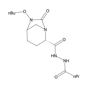 CCCCON1C(=O)N2CC1CC[C@H]2C(=O)NNC(=O)CCC